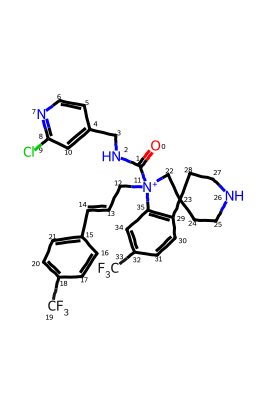 O=C(NCc1ccnc(Cl)c1)[N+]1(C/C=C/c2ccc(C(F)(F)F)cc2)CC2(CCNCC2)c2ccc(C(F)(F)F)cc21